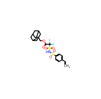 C=Cc1ccc(S(=O)(=O)NS(=O)(=O)C(F)(F)C(=O)OCC23CC4CC(CC(C4)C2)C3)cc1